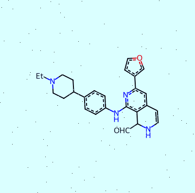 CCN1CCC(c2ccc(Nc3nc(-c4ccoc4)cc4c3C(C=O)NC=C4)cc2)CC1